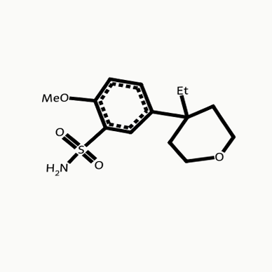 CCC1(c2ccc(OC)c(S(N)(=O)=O)c2)CCOCC1